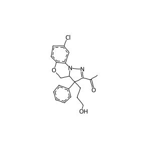 CC(=O)C1=NN2c3cc(Cl)ccc3OCC2C1(CCCO)c1ccccc1